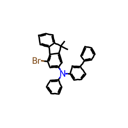 CC1(C)c2ccccc2-c2c(Br)cc(N(c3ccccc3)c3cccc(-c4ccccc4)c3)cc21